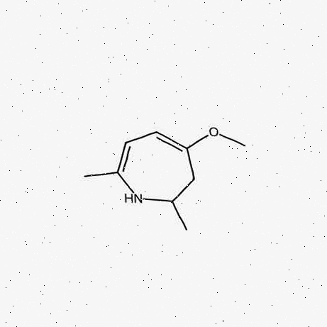 COC1=CC=C(C)NC(C)C1